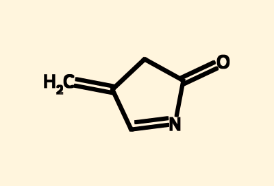 C=C1C=NC(=O)C1